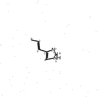 CC=Cc1c[nH]nn1